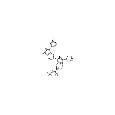 Cn1cc(-c2nn(C)c3ccc(-c4nc(C5CCOC5)n5c4CN(C(=O)OC(C)(C)C)CC5)cc23)cn1